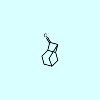 O=C1C2CCC3CC1C2C3